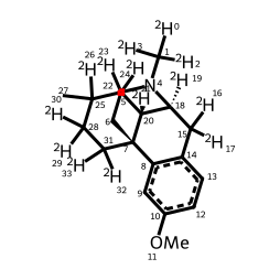 [2H]C([2H])([2H])N1CC[C@]23c4cc(OC)ccc4C([2H])([2H])[C@@]1([2H])[C@@]2([2H])C([2H])([2H])C([2H])(C)C([2H])([2H])C3([2H])[2H]